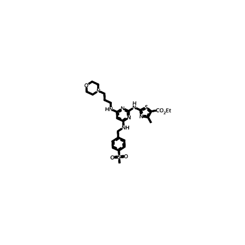 CCOC(=O)c1sc(Nc2nc(NCCCN3CCOCC3)cc(NCc3ccc(S(C)(=O)=O)cc3)n2)nc1C